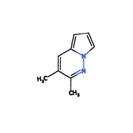 Cc1cc2cccn2nc1C